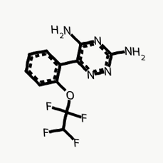 Nc1nnc(-c2ccccc2OC(F)(F)C(F)F)c(N)n1